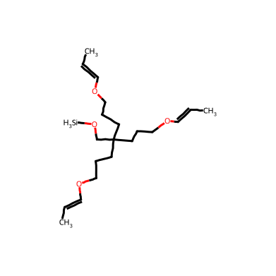 CC=COCCCC(CCCOC=CC)(CCCOC=CC)CO[SiH3]